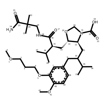 COCCCOc1cc(CC(C[C@H]2[C@H](C[C@H](C(=O)NCC(C)(C)C(N)=O)C(C)C)OCN2C(=O)O)C(C)C)ccc1OC